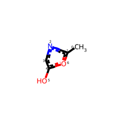 Cc1ncc(O)o1